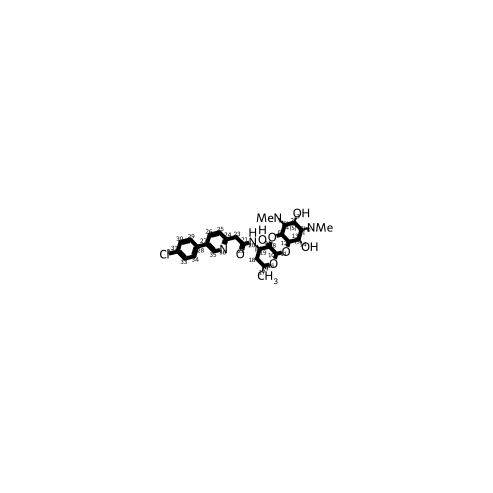 CN[C@@H]1[C@H](O)[C@H](NC)C2O[C@]3(O)C(OC2[C@H]1O)O[C@H](C)C[C@H]3NC(=O)Cc1ccc(-c2ccc(Cl)cc2)cn1